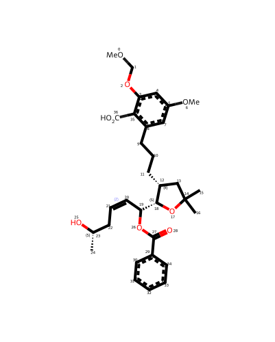 COCOc1cc(OC)cc(CCC[C@@H]2CC(C)(C)O[C@@H]2C(/C=C\C[C@H](C)O)OC(=O)c2ccccc2)c1C(=O)O